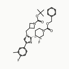 Cc1cc(-c2cn(CC3CN(C(=O)OC(C)(C)C)C3)c([C@@H]3CCN(C(=O)OCc4ccccc4)C[C@@H]3F)n2)ccc1F